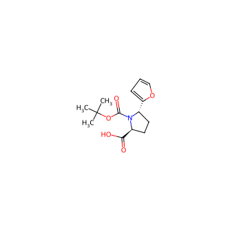 CC(C)(C)OC(=O)N1[C@H](C(=O)O)CC[C@H]1c1ccco1